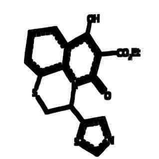 CCOC(=O)c1c(O)c2cccc3c2n(c1=O)C(c1cncs1)CS3